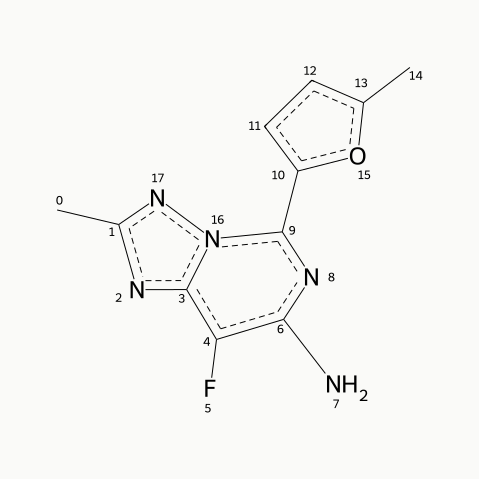 Cc1nc2c(F)c(N)nc(-c3ccc(C)o3)n2n1